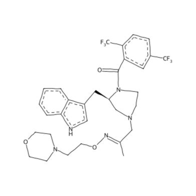 CC(CN1CCN(C(=O)c2cc(C(F)(F)F)ccc2C(F)(F)F)[C@H](Cc2c[nH]c3ccccc23)C1)=NOCCN1CCOCC1